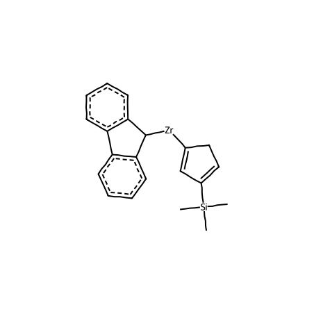 C[Si](C)(C)C1=CC[C]([Zr][CH]2c3ccccc3-c3ccccc32)=C1